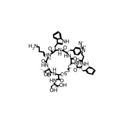 C[C@@H](O)[C@@H]1NC(=O)[C@H](CCCCN)NC(=O)[C@@H](Cc2c[nH]c3ccccc23)NC(=O)[C@H](Cc2ccccc2)NC(=O)[C@@H](NC(=O)[C@@H](Cc2ccccc2)NC(=O)CCN=[N+]=[N-])CSSCC(C(=O)N[C@H](CO)[C@@H](C)O)NC1=O